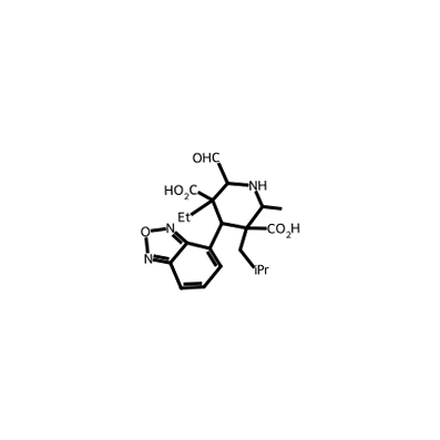 CCC1(C(=O)O)C(C=O)NC(C)C(CC(C)C)(C(=O)O)C1c1cccc2nonc12